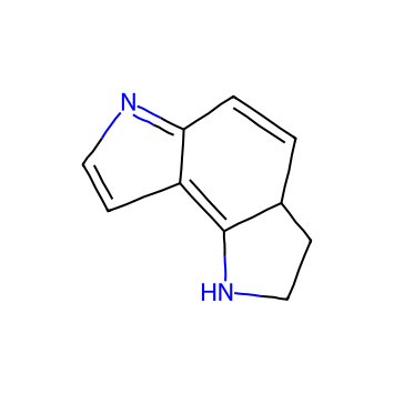 C1=CC2=C3NCCC3C=CC2=N1